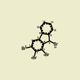 Brc1cc2c(c(Br)c1Br)C(Br)c1ccccc1-2